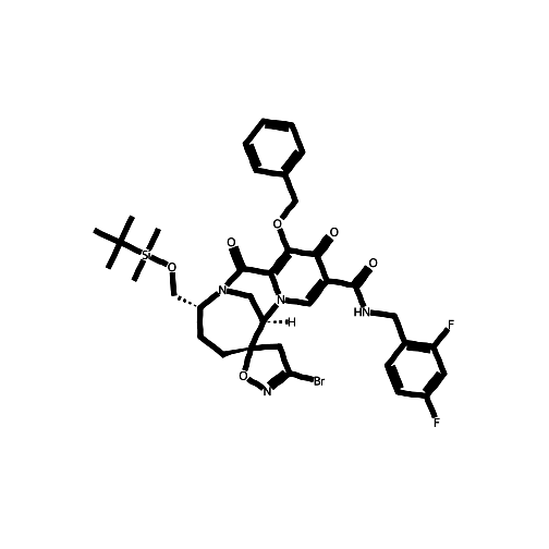 CC(C)(C)[Si](C)(C)OC[C@H]1CC[C@]2(CC(Br)=NO2)[C@H]2CN1C(=O)c1c(OCc3ccccc3)c(=O)c(C(=O)NCc3ccc(F)cc3F)cn12